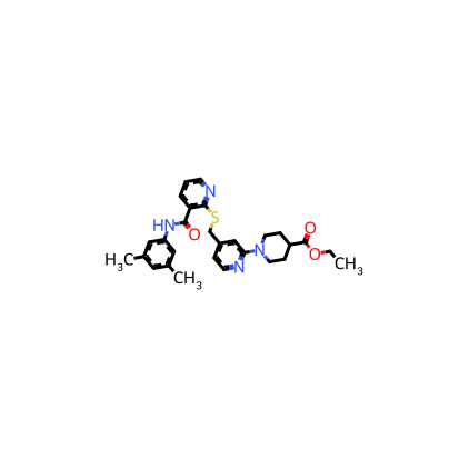 CCOC(=O)C1CCN(c2cc(CSc3ncccc3C(=O)Nc3cc(C)cc(C)c3)ccn2)CC1